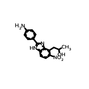 CC(O)Cc1c([N+](=O)[O-])ccc2[nH]c(-c3ccc(N)cc3)nc12